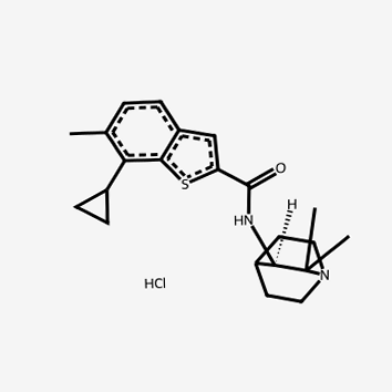 Cc1ccc2cc(C(=O)N[C@@H]3C4CCN(CC4)C3(C)C)sc2c1C1CC1.Cl